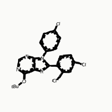 CC(C)(C)Oc1ncnc2c1nc(-c1ccc(Cl)cc1Cl)n2-c1ccc(Cl)cc1